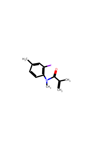 C=C(C)C(=O)N(C)c1ccc(C)cc1I